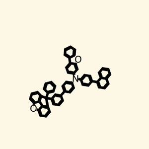 c1ccc(C2(c3cccc(-c4ccc(N(c5ccc(-c6cccc7ccccc67)cc5)c5ccc6c(c5)oc5ccccc56)cc4)c3)c3cccc4oc5cccc2c5c34)cc1